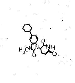 Cn1c(=O)n(C2CCC(=O)NC2=O)c2ccc(C3CCCCC3)cc21